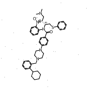 CN(C)CC[C@H](CSc1ccccc1)N(C(=O)c1ccc(N2CCN(Cc3ccccc3C3CCCCC3)CC2)cc1)c1ccccc1[N+](=O)[O-]